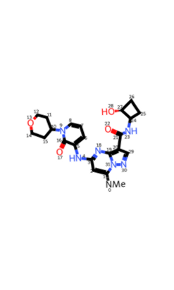 CNc1cc(Nc2cccn(C3CCOCC3)c2=O)nc2c(C(=O)NC3CC[C@@H]3O)cnn12